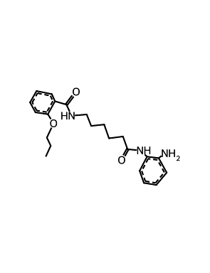 CCCOc1ccccc1C(=O)NCCCCCC(=O)Nc1ccccc1N